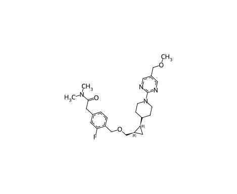 COCc1cnc(N2CCC([C@H]3C[C@H]3COCc3ccc(CC(=O)N(C)C)cc3F)CC2)nc1